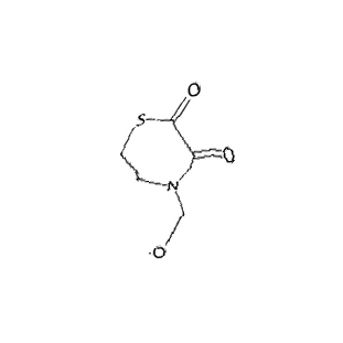 [O]CN1CCSC(=O)C1=O